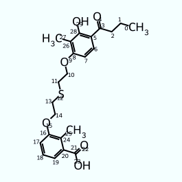 CCCC(=O)c1ccc(OCCSCCOc2cccc(C(=O)O)c2C)c(C)c1O